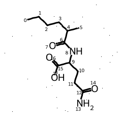 CCCCC(C)C(=O)NC(CCC(N)=O)C(=O)O